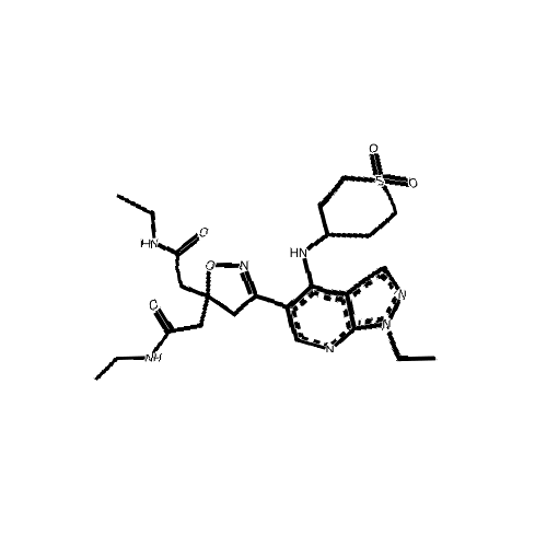 CCNC(=O)CC1(CC(=O)NCC)CC(c2cnc3c(cnn3CC)c2NC2CCS(=O)(=O)CC2)=NO1